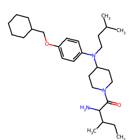 CCC(C)C(N)C(=O)N1CCC(N(CCC(C)C)c2ccc(OCC3CCCCC3)cc2)CC1